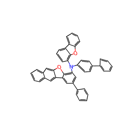 c1ccc(-c2ccc(N(c3cccc4c3oc3ccccc34)c3cc(-c4ccccc4)cc4c3oc3cc5ccccc5cc34)cc2)cc1